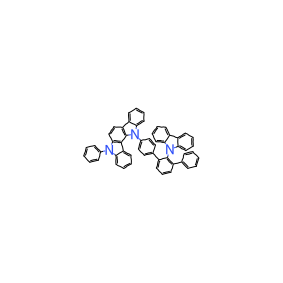 c1ccc(-c2cccc(-c3ccc(-n4c5ccccc5c5ccc6c(c7ccccc7n6-c6ccccc6)c54)cc3)c2-n2c3ccccc3c3ccccc32)cc1